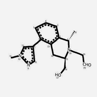 C[C@H]1c2cccc(-c3cnn(C)c3)c2C[C@H](CO)N1CC=O